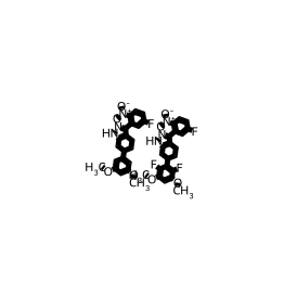 COc1cc(OC)c(F)c(C2CCc3c(-c4cc(F)ccc4[N+](=O)[O-])n[nH]c3C2)c1F.COc1cc(OC)cc(C2CCc3c(-c4cc(F)ccc4[N+](=O)[O-])n[nH]c3C2)c1